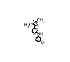 Cc1nc(C)c(-c2ccnc(Nc3cccc(Br)c3)n2)s1